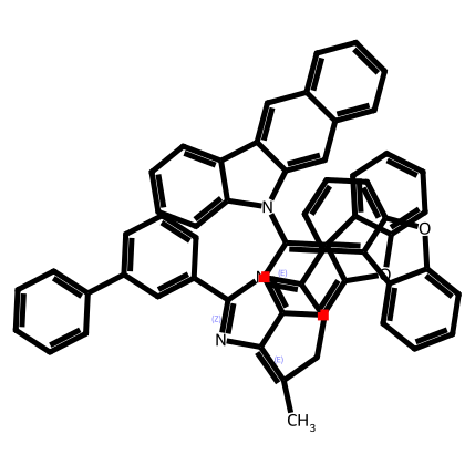 C\C1=C(c2cc(-n3c4ccccc4c4cc5ccccc5cc43)c3c(c2)oc2ccccc23)/N=C(c2cccc(-c3ccccc3)c2)\N=C(\c2cccc3oc4ccccc4c23)CC1